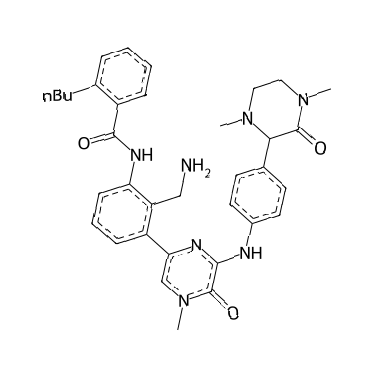 CCCCc1ccccc1C(=O)Nc1cccc(-c2cn(C)c(=O)c(Nc3ccc(C4C(=O)N(C)CCN4C)cc3)n2)c1CN